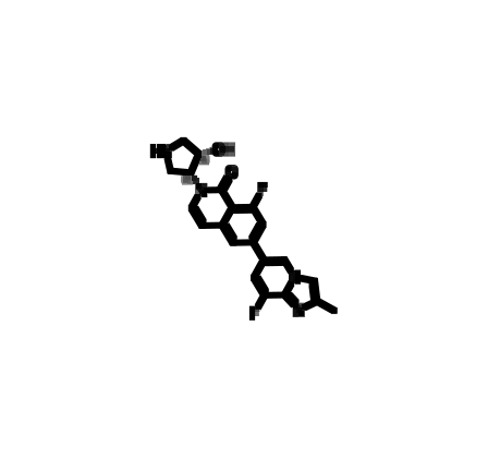 Cc1cn2cc(-c3cc(F)c4c(=O)n([C@@H]5CNC[C@@H]5O)ccc4c3)cc(F)c2n1